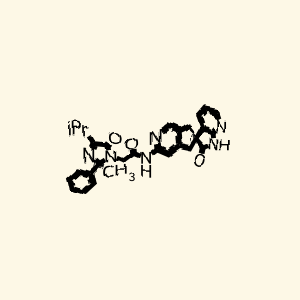 CC(C)C1=N[C@@](C)(c2ccccc2)N(CC(=O)Nc2cc3c(cn2)C[C@]2(C3)C(=O)Nc3ncccc32)C1=O